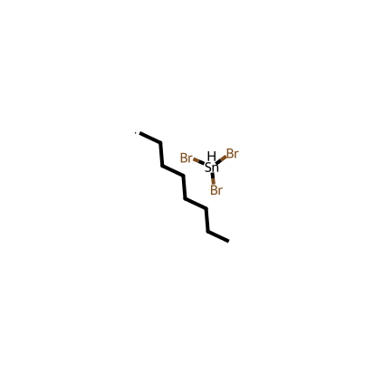 [Br][SnH]([Br])[Br].[CH2]CCCCCCC